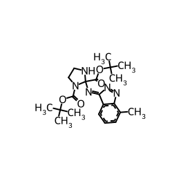 Cc1cccc2c1N=NC2=NC1(C(=O)OC(C)(C)C)NCCN1C(=O)OC(C)(C)C